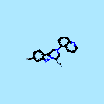 C[C@@H]1CN(c2cccc3ncccc23)Cc2c3ccc(Br)cc3nn21